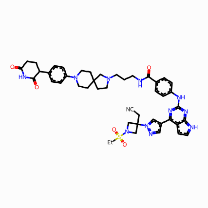 CCS(=O)(=O)N1CC(CC#N)(n2cc(-c3nc(Nc4ccc(C(=O)NCCCN5CCC6(CCN(c7ccc(C8CCC(=O)NC8=O)cc7)CC6)C5)cc4)nc4[nH]ccc34)cn2)C1